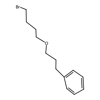 BrCCCCOCCCc1ccccc1